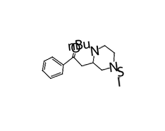 CCCCN1CCN(SI)CC1CC(=O)c1ccccc1